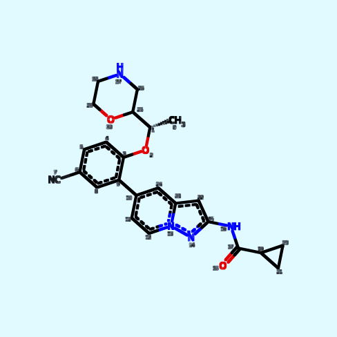 C[C@H](Oc1ccc(C#N)cc1-c1ccn2nc(NC(=O)C3CC3)cc2c1)C1CNCCO1